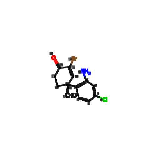 Nc1cc(Cl)ccc1[C@@]1(C=O)C=C(Br)C(=O)CC1